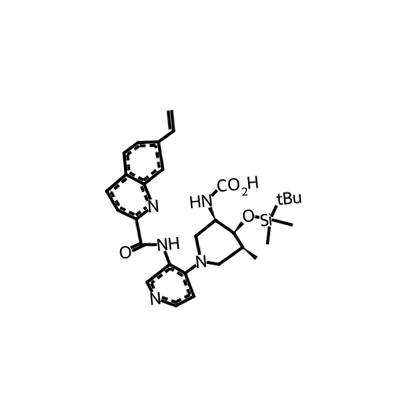 C=Cc1ccc2ccc(C(=O)Nc3cnccc3N3C[C@H](C)[C@H](O[Si](C)(C)C(C)(C)C)[C@H](NC(=O)O)C3)nc2c1